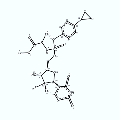 CC(C)OC(=O)C(C)N[P@@](=O)(OC[C@H]1O[C@@H](n2ccc(=O)[nH]c2=O)[C@](C)(F)[C@@H]1O)Oc1ccc(C2CC2)cc1